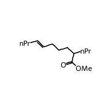 CCCC=CCCCC(CCC)C(=O)OC